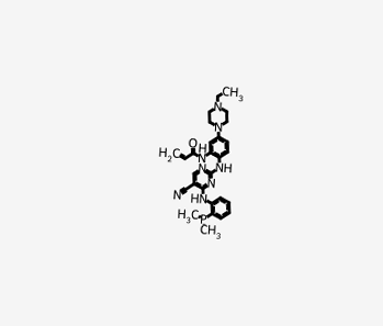 C=CC(=O)Nc1cc(N2CCN(CC)CC2)ccc1Nc1ncc(C#N)c(Nc2ccccc2P(C)C)n1